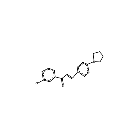 O=C(/C=C/c1ccc(N2CCCC2)cc1)c1cccc(Cl)c1